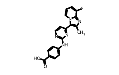 Cc1nc2c(F)cccn2c1-c1ccnc(Nc2ccc(C(=O)O)cc2)n1